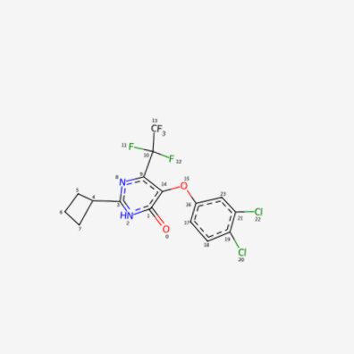 O=c1[nH]c(C2CCC2)nc(C(F)(F)C(F)(F)F)c1Oc1ccc(Cl)c(Cl)c1